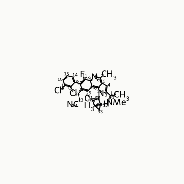 CN[C@H](C)c1cc2c(C)nc3c(F)c(-c4cccc(Cl)c4Cl)c(CCC#N)cc3c2n1[C@@H]1[C@@H](C)C2C[C@@H]21